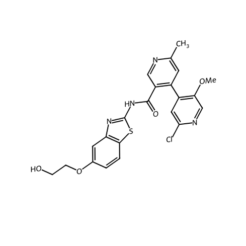 COc1cnc(Cl)cc1-c1cc(C)ncc1C(=O)Nc1nc2cc(OCCO)ccc2s1